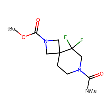 CNC(=O)N1CCC2(CN(C(=O)OC(C)(C)C)C2)C(F)(F)C1